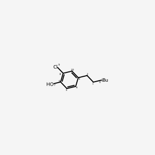 CCC(C)CCc1ccc(O)c(Cl)c1